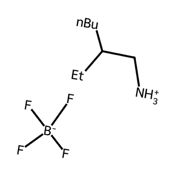 CCCCC(CC)C[NH3+].F[B-](F)(F)F